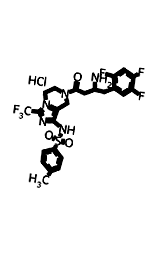 Cc1ccc(S(=O)(=O)Nc2nc(C(F)(F)F)n3c2CN(C(=O)CC(N)Cc2cc(F)c(F)cc2F)CC3)cc1.Cl